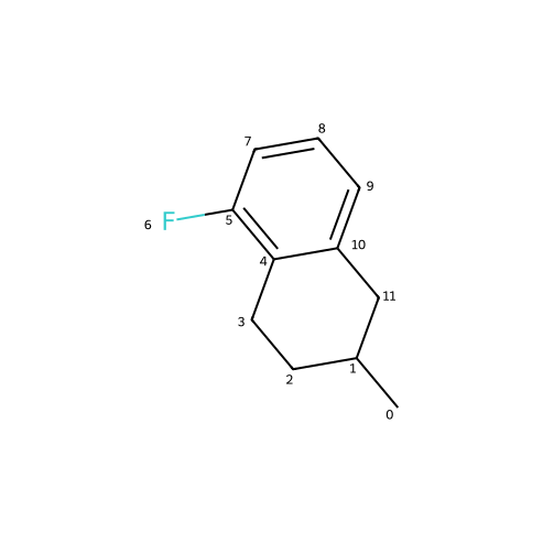 CC1CCc2c(F)cccc2C1